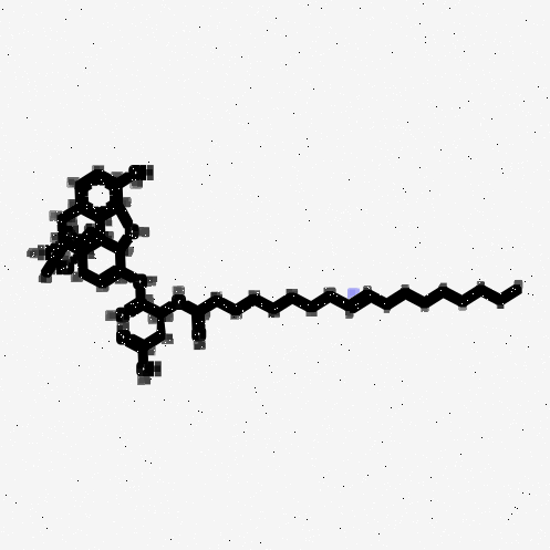 CCCCCCCC/C=C/CCCCCCCC(=O)O[C@@H](CC(=O)O)C(=O)OC1=CC[C@@]2(O)[C@H]3Cc4ccc(O)c5c4C2(CCN3C)C1O5